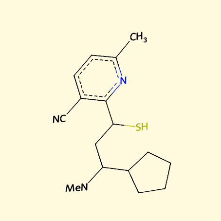 CNC(CC(S)c1nc(C)ccc1C#N)C1CCCC1